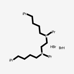 Br.Br.CC(C)CCCCP(CCP(CCCCC(C)C)C(C)C)C(C)C